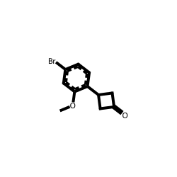 COc1cc(Br)ccc1C1CC(=O)C1